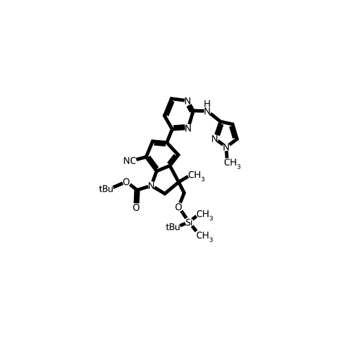 Cn1ccc(Nc2nccc(-c3cc(C#N)c4c(c3)C(C)(CO[Si](C)(C)C(C)(C)C)CN4C(=O)OC(C)(C)C)n2)n1